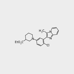 CCOC(=O)C1CCCN(c2ccc(Cl)c(-c3nc4ccccn4c3C)c2)C1